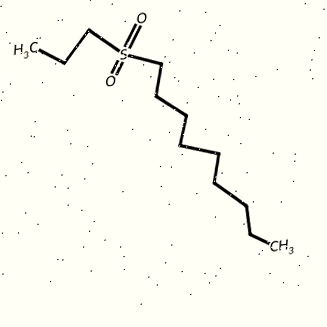 CCCCCCCCCS(=O)(=O)CCC